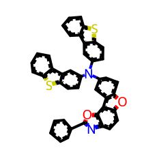 c1ccc(-c2nc3ccc4oc5ccc(N(c6ccc7sc8ccccc8c7c6)c6ccc7sc8ccccc8c7c6)cc5c4c3o2)cc1